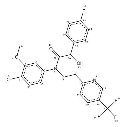 COc1cc(N(CCc2ccc(C(F)(F)F)cn2)C(=O)C(O)c2ccc(F)cc2)ccc1Cl